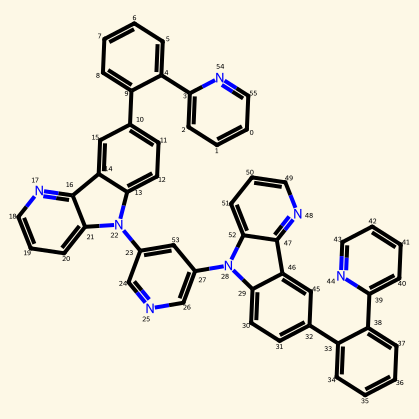 c1ccc(-c2ccccc2-c2ccc3c(c2)c2ncccc2n3-c2cncc(-n3c4ccc(-c5ccccc5-c5ccccn5)cc4c4ncccc43)c2)nc1